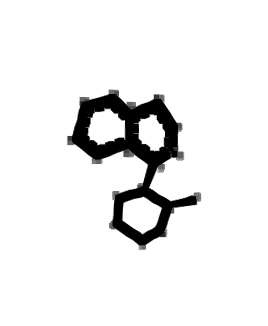 C[C@H]1CCCC[C@H]1c1nccc2ccccc12